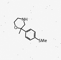 CSc1ccc(C2(C)CNCCO2)cc1